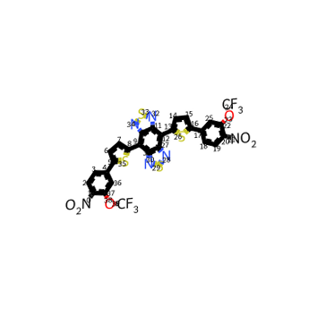 O=[N+]([O-])c1ccc(-c2ccc(-c3c4c(c(-c5ccc(-c6ccc([N+](=O)[O-])c(OC(F)(F)F)c6)s5)c5nsnc35)N=S=N4)s2)cc1OC(F)(F)F